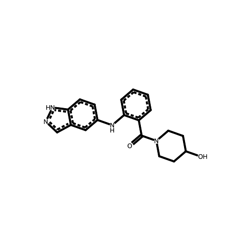 O=C(c1ccccc1Nc1ccc2[nH]ncc2c1)N1CCC(O)CC1